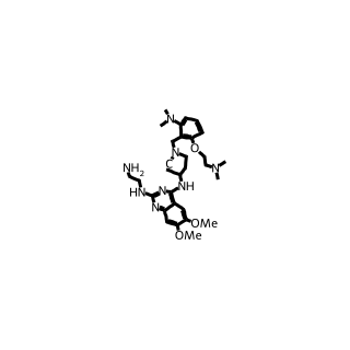 COc1cc2nc(NCCN)nc(NC3CCN(Cc4c(OCCN(C)C)cccc4N(C)C)CC3)c2cc1OC